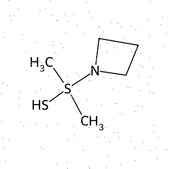 CS(C)(S)N1CCC1